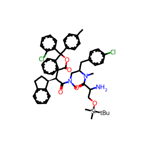 Cc1ccc(C(OC(=O)CC(C(=O)N(C)CC(Cc2ccc(Cl)cc2)N(C)C(=O)C(N)CO[Si](C)(C)C(C)(C)C)[C@@H]2CCc3ccccc32)(c2ccccc2)c2ccccc2Cl)cc1